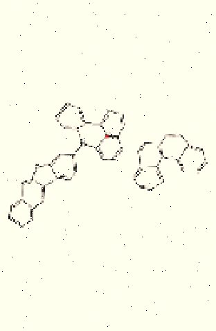 c1ccc(-c2ccccc2N(c2ccc(-c3cc4ccc5ccccc5c4c4ccccc34)cc2)c2ccc3c(c2)oc2cc4ccccc4cc23)cc1